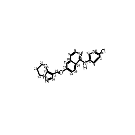 Clc1ccc(Nc2nccc3cc(OCc4cnn5c4OCCC5)ccc23)cn1